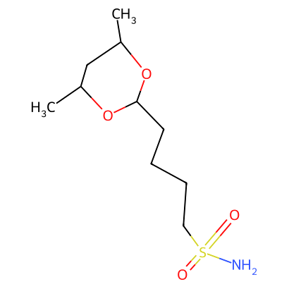 CC1CC(C)OC(CCCCS(N)(=O)=O)O1